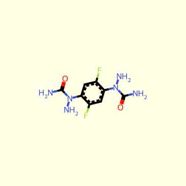 NC(=O)N(N)c1cc(F)c(N(N)C(N)=O)cc1F